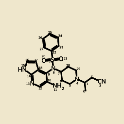 CC(CC#N)N1CCC(N(c2c(N)cnc3[nH]ccc23)S(=O)(=O)c2ccccc2)CC1